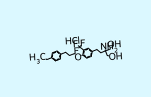 CCc1ccc(CCCOc2ccc(CCC(N)(CO)CO)cc2C(F)(F)F)cc1.Cl